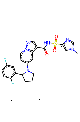 Cn1cnc(S(=O)(=O)NC(=O)c2cnn3ccc(N4CCCC4c4cc(F)ccc4F)cc23)c1